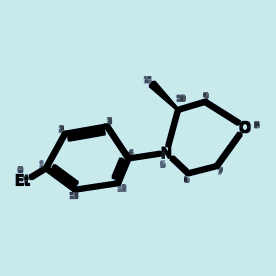 CCc1ccc(N2CCOC[C@@H]2C)cc1